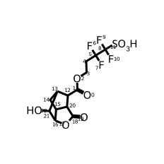 O=C(OCCC(F)(F)C(F)(F)S(=O)(=O)O)C1C2CC3C(OC(=O)C31)C2O